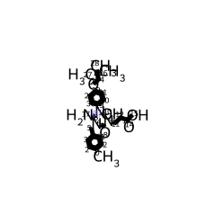 Cc1ccc(CN(C(=O)N(O)CCC(=O)O)/C(N)=N/c2ccc(OCC(C)(C)C)cc2)cc1